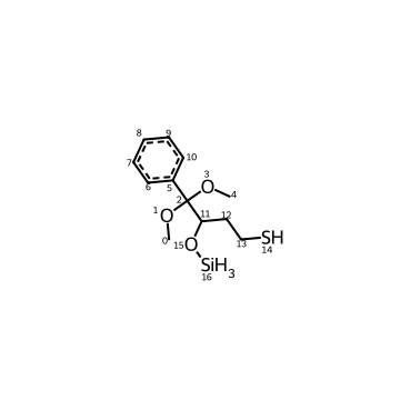 COC(OC)(c1ccccc1)C(CCS)O[SiH3]